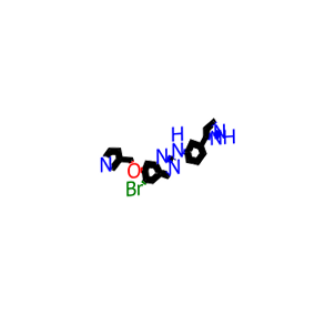 Brc1cc2cnc(Nc3cccc(-c4ccn[nH]4)c3)nc2cc1OCc1cccnc1